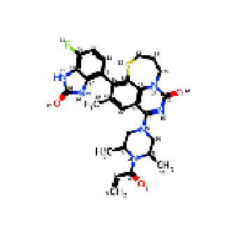 C=CC(=O)N1C(C)CN(c2nc(=O)n3c4c(c(-c5ccc(F)c6[nH]c(=O)[nH]c56)c(C(F)(F)F)cc24)SCCC3)CC1C